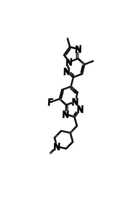 Cc1cn2nc(-c3cc(F)c4nc(CC5CCN(C)CC5)nn4c3)cc(C)c2n1